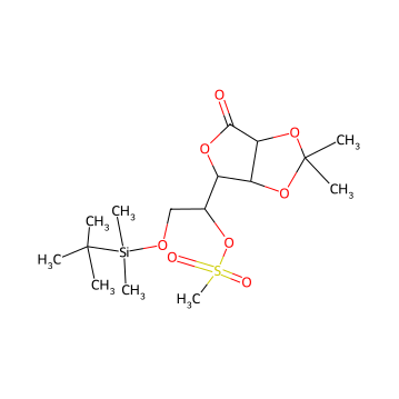 CC1(C)OC2C(=O)OC(C(CO[Si](C)(C)C(C)(C)C)OS(C)(=O)=O)C2O1